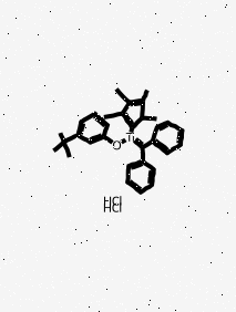 CC1=C(C)C(C)[C]([Ti]([O]c2cccc(C(C)(C)C)c2)=[C](c2ccccc2)c2ccccc2)=C1C.Cl.Cl